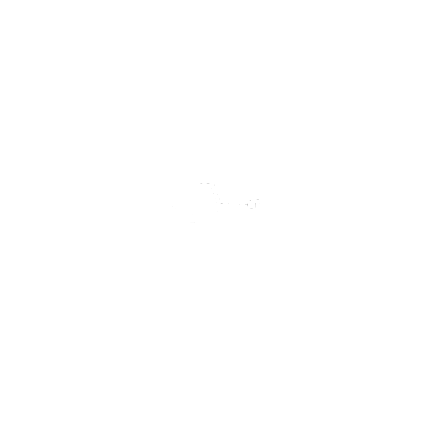 CC1CCCC=C1C(F)(F)F